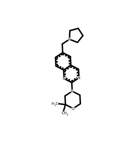 CC1(C)CN(c2ncc3cc(CN4CCCC4)ccc3n2)CCO1